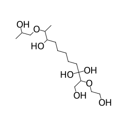 CC(O)COC(C)C(O)CCCCCC(O)(O)C(CO)OCCO